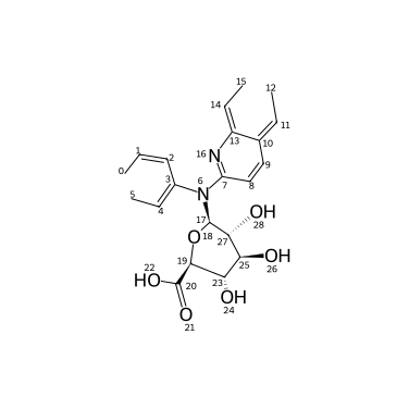 C/C=C\C(=C/C)N(c1ccc(=C/C)/c(=C\C)n1)[C@@H]1O[C@H](C(=O)O)[C@@H](O)[C@H](O)[C@H]1O